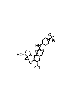 CC(F)c1cc2cnc(NC3CCN(S(C)(=O)=O)CC3)nc2n([C@@H]2CCC(O)C23CC3)c1=O